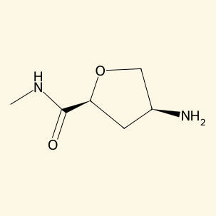 CNC(=O)[C@@H]1C[C@H](N)CO1